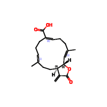 C=C1C(=O)O[C@H]2/C=C(\C)CC/C=C(\C(=O)O)CC/C=C(\C)CC[C@H]12